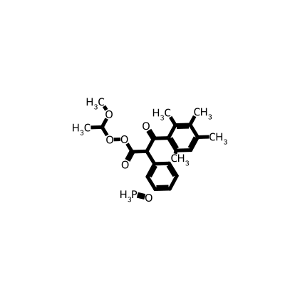 COC(C)OOC(=O)C(C(=O)c1c(C)cc(C)c(C)c1C)c1ccccc1.O=[PH3]